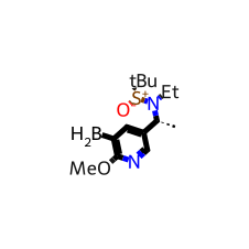 Bc1cc([C@@H](C)N(CC)[S@@+]([O-])C(C)(C)C)cnc1OC